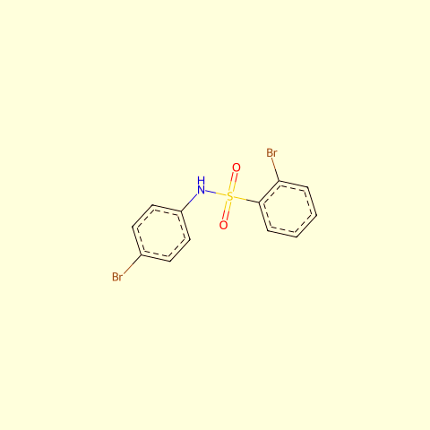 O=S(=O)(Nc1ccc(Br)cc1)c1ccccc1Br